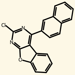 Clc1nc(-c2ccc3ccccc3c2)c2c(n1)oc1ccccc12